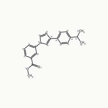 COC(=O)c1cccc(-n2cnc(-c3ccc(C(C)C)cc3)c2)c1